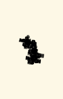 COc1cc([C@H]2OC[C@H](Cc3cc(OC)c(O[C@@H]4O[C@H](CO)[C@@H](O)[C@H](O)[C@H]4O)c(OC)c3)[C@@H]2CO)cc(OC)c1O